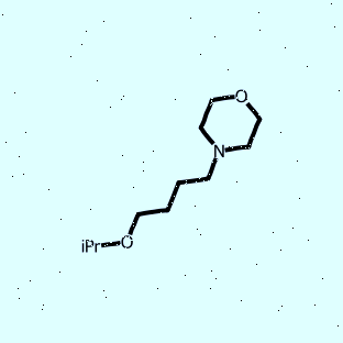 CC(C)OCCCCN1CCOCC1